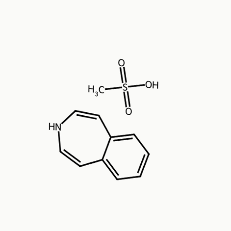 C1=Cc2ccccc2C=CN1.CS(=O)(=O)O